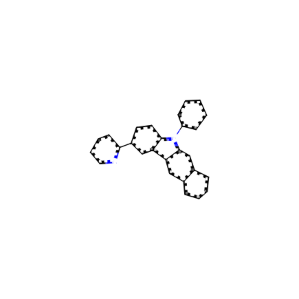 c1ccc(-n2c3ccc(-c4ccccn4)cc3c3cc4ccccc4cc32)cc1